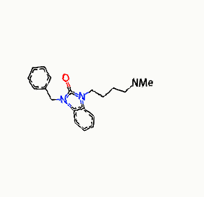 CNCCCCn1c(=O)n(Cc2ccccc2)c2ccccc21